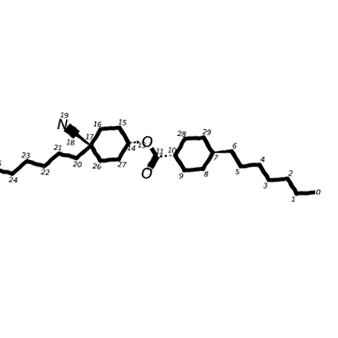 CCCCCCC[C@H]1CC[C@H](C(=O)O[C@H]2CC[C@@](C#N)(CCCCCC)CC2)CC1